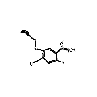 C#CCSc1cc(NN)c(F)cc1Cl